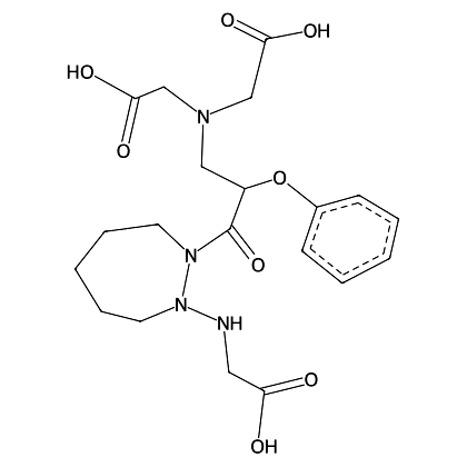 O=C(O)CNN1CCCCCN1C(=O)C(CN(CC(=O)O)CC(=O)O)Oc1ccccc1